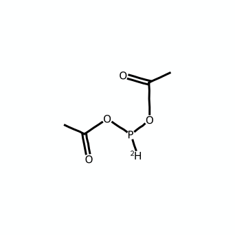 [2H]P(OC(C)=O)OC(C)=O